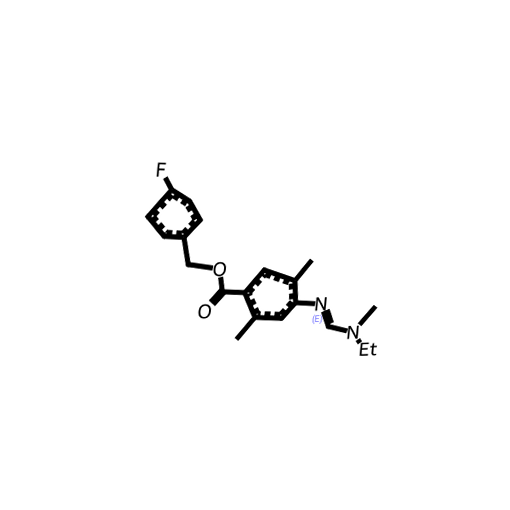 CCN(C)/C=N/c1cc(C)c(C(=O)OCc2ccc(F)cc2)cc1C